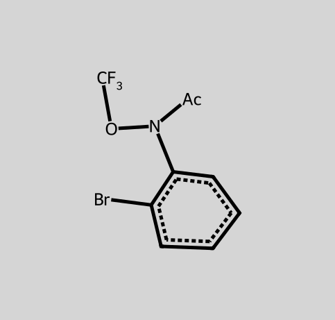 CC(=O)N(OC(F)(F)F)c1ccccc1Br